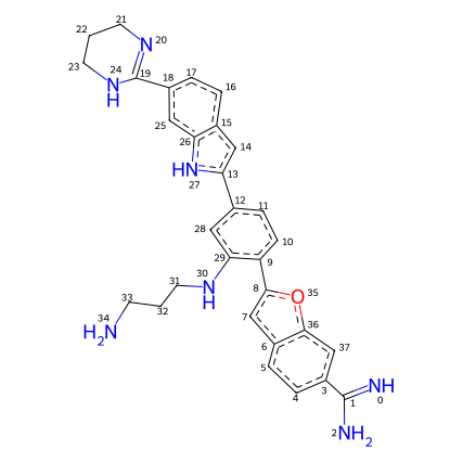 N=C(N)c1ccc2cc(-c3ccc(-c4cc5ccc(C6=NCCCN6)cc5[nH]4)cc3NCCCN)oc2c1